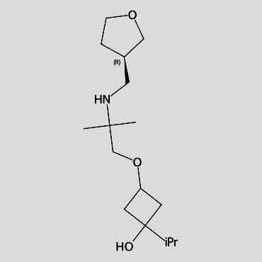 CC(C)C1(O)CC(OCC(C)(C)NC[C@H]2CCOC2)C1